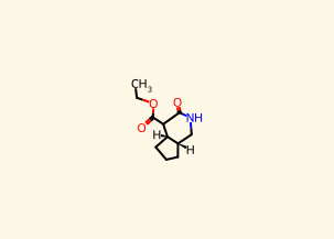 CCOC(=O)C1C(=O)NC[C@@H]2CCC[C@H]12